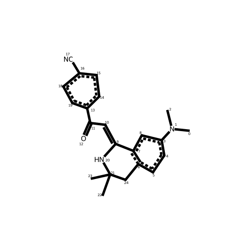 CN(C)c1ccc2c(c1)C(=CC(=O)c1ccc(C#N)cc1)NC(C)(C)C2